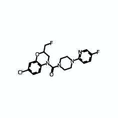 O=C(N1CCN(c2ccc(F)cn2)CC1)N1CC(CF)Oc2cc(Cl)ccc21